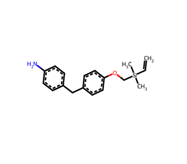 C=C[Si](C)(C)COc1ccc(Cc2ccc(N)cc2)cc1